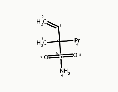 C=CC(C)(C(C)C)S(N)(=O)=O